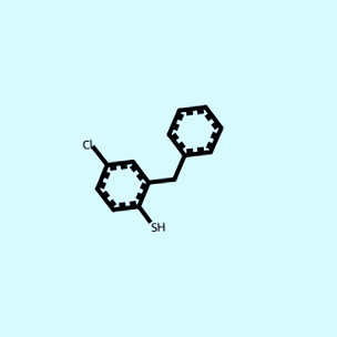 Sc1ccc(Cl)cc1Cc1ccccc1